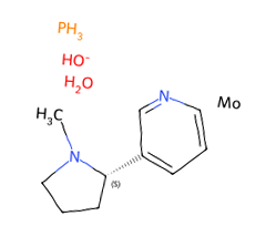 CN1CCC[C@H]1c1cccnc1.O.P.[Mo].[OH-]